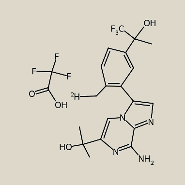 O=C(O)C(F)(F)F.[2H]Cc1ccc(C(C)(O)C(F)(F)F)cc1-c1cnc2c(N)nc(C(C)(C)O)cn12